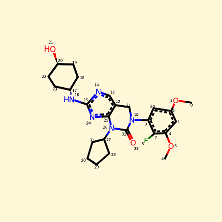 COc1cc(OC)c(F)c(N2Cc3cnc(N[C@H]4CC[C@H](O)CC4)nc3N(C3CCCC3)C2=O)c1